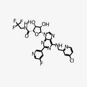 O=C(NCC(F)(F)F)[C@H]1O[C@@H](n2cnc3c(NCc4cc(Cl)ccn4)nc(-c4cncc(F)c4)nc32)[C@H](O)[C@@H]1O